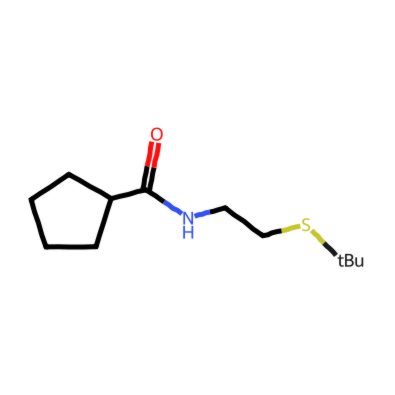 CC(C)(C)SCCNC(=O)C1CCCC1